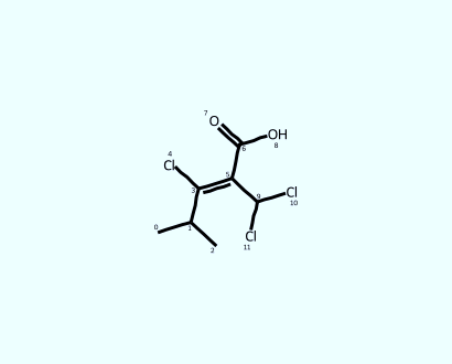 CC(C)C(Cl)=C(C(=O)O)C(Cl)Cl